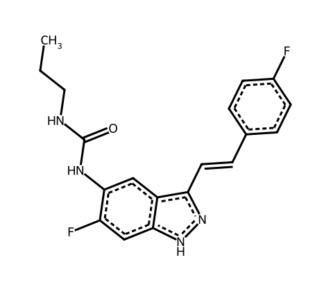 CCCNC(=O)Nc1cc2c(/C=C/c3ccc(F)cc3)n[nH]c2cc1F